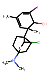 CC1=CC(C)(C23CCC(N(C)C)(CC2)CC3Cl)C(O)C(I)=C1